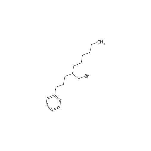 CCCCCCC(CBr)CCCc1ccccc1